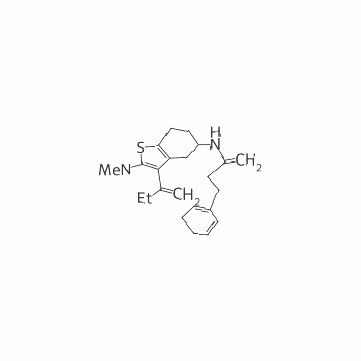 C=C(CCC1=CCCC=C1)NC1CCc2sc(NC)c(C(=C)CC)c2C1